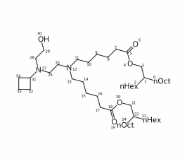 CCCCCCCCC(CCCCCC)COC(=O)CCCCCN(CCCCCC(=O)OCC(CCCCCC)CCCCCCCC)CCN(CCO)C1CCC1